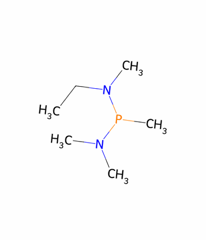 CCN(C)P(C)N(C)C